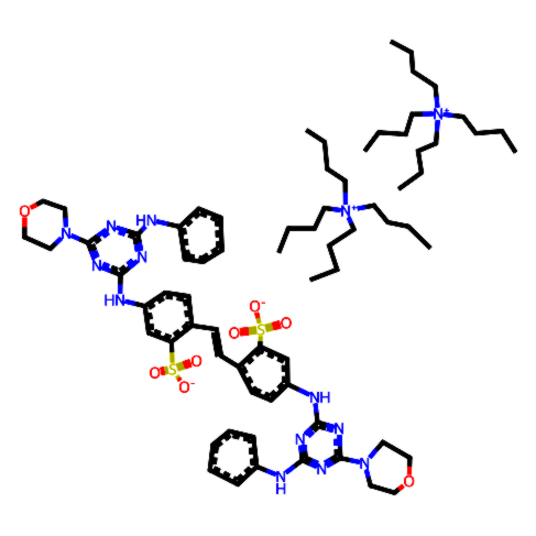 CCCC[N+](CCCC)(CCCC)CCCC.CCCC[N+](CCCC)(CCCC)CCCC.O=S(=O)([O-])c1cc(Nc2nc(Nc3ccccc3)nc(N3CCOCC3)n2)ccc1C=Cc1ccc(Nc2nc(Nc3ccccc3)nc(N3CCOCC3)n2)cc1S(=O)(=O)[O-]